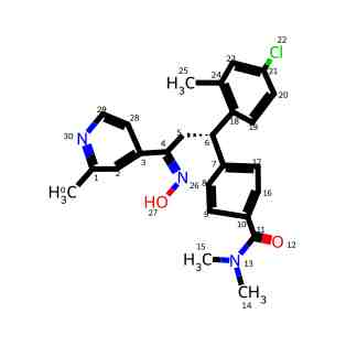 Cc1cc(C(C[C@@H](c2ccc(C(=O)N(C)C)cc2)c2ccc(Cl)cc2C)=NO)ccn1